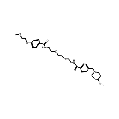 COCCOc1ccc(C(=O)NCCOCCOCCNC(=O)c2ccc(CN3CCC(N)CC3)cc2)cc1